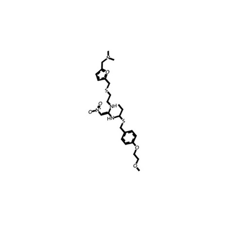 CCC(NC(=C[N+](=O)[O-])NCCSCc1ccc(CN(C)C)o1)SCc1ccc(OCCOC)cc1